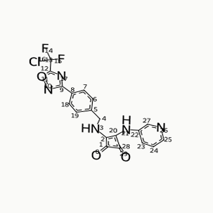 O=c1c(NCc2ccc(-c3noc(C(F)(F)Cl)n3)cc2)c(Nc2cccnc2)c1=O